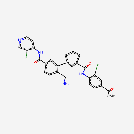 COC(=O)c1ccc(NC(=O)c2cccc(-c3cc(C(=O)Nc4ccncc4F)ccc3CN)c2)c(F)c1